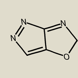 C1=C2OCN=C2N=N1